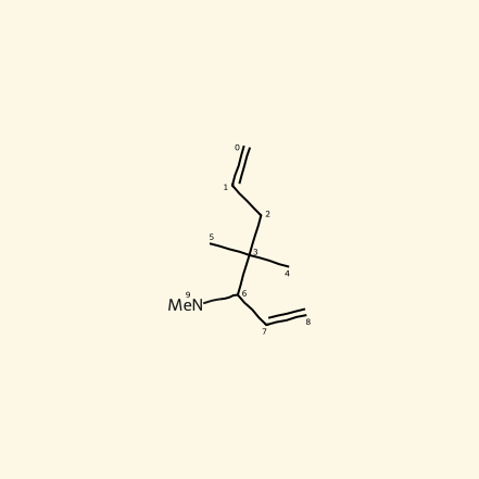 C=CCC(C)(C)C(C=C)NC